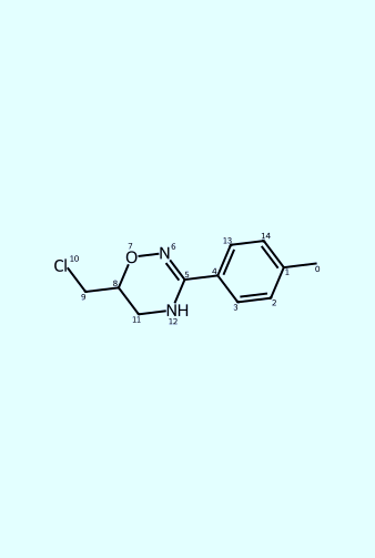 Cc1ccc(C2=NOC(CCl)CN2)cc1